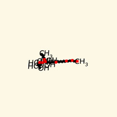 CCCCCCCCCCCCCCCCCCC[C@@H](O)[C@@H](O)[C@H](CC[C@H]1O[C@H](CO)[C@H](O)[C@H](O)[C@H]1O)NC(=O)CCCCC